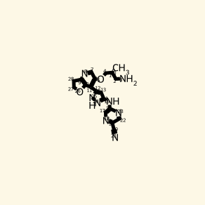 C[C@H](CN)COc1cnc2c(c1-c1cc(Nc3cnc(C#N)cn3)n[nH]1)OCC2